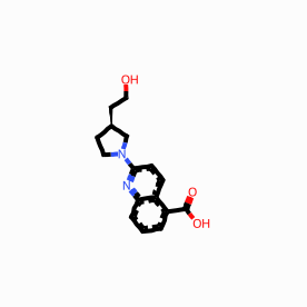 O=C(O)c1cccc2nc(N3CC[C@@H](CCO)C3)ccc12